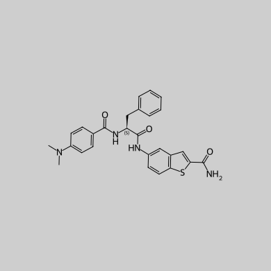 CN(C)c1ccc(C(=O)N[C@@H](Cc2ccccc2)C(=O)Nc2ccc3sc(C(N)=O)cc3c2)cc1